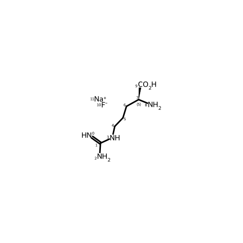 N=C(N)NCCC[C@H](N)C(=O)O.[F-].[Na+]